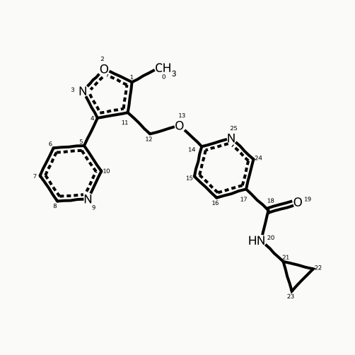 Cc1onc(-c2cccnc2)c1COc1ccc(C(=O)NC2CC2)cn1